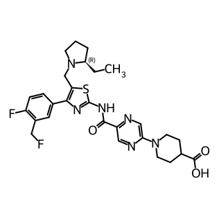 CC[C@@H]1CCCN1Cc1sc(NC(=O)c2cnc(N3CCC(C(=O)O)CC3)cn2)nc1-c1ccc(F)c(CF)c1